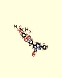 CC(C)Oc1ccc(S(=O)(=O)N2CCC(c3cn(CC=O)c4nc(C5CCCC5)ccc34)CC2)cc1